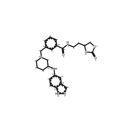 O=C1OCC(CCNC(=O)c2cccc(CN3CCCC(Nc4ccc5[nH]ncc5c4)C3)c2)O1